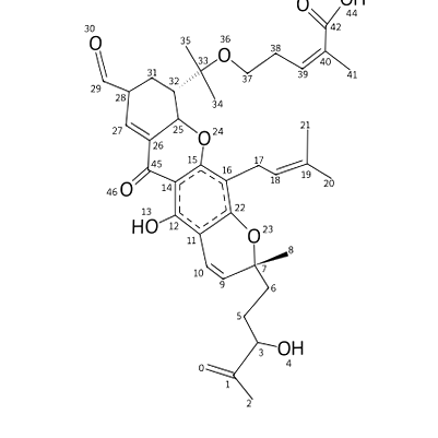 C=C(C)C(O)CC[C@]1(C)C=Cc2c(O)c3c(c(CC=C(C)C)c2O1)OC1C(=CC(C=O)C[C@@H]1C(C)(C)OCC/C=C(/C)C(=O)O)C3=O